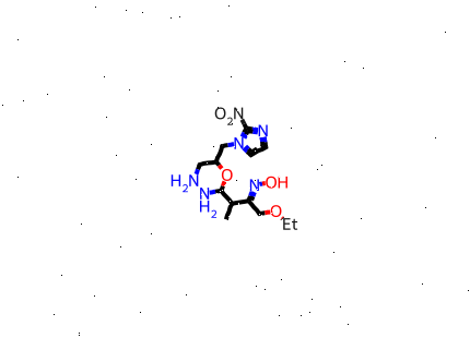 CCOCC(=NO)C(C)C(N)OC(CN)Cn1ccnc1[N+](=O)[O-]